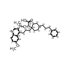 COc1ccc2ncc(N(C)C)c(CCCC3(CC(=O)O)CCN(CCCc4ccccc4)CC3)c2c1